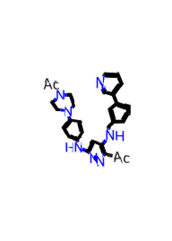 CC(=O)c1nnc(Nc2ccc(N3CCN(C(C)=O)CC3)cc2)cc1NCc1cccc(-c2cccnc2)c1